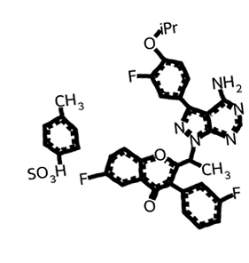 CC(C)Oc1ccc(-c2nn(C(C)c3oc4ccc(F)cc4c(=O)c3-c3cccc(F)c3)c3ncnc(N)c23)cc1F.Cc1ccc(S(=O)(=O)O)cc1